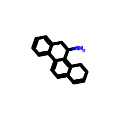 NC1Cc2ccccc2-c2ccc3c(c21)CCC=C3